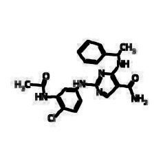 CC(=O)Nc1cc(Nc2ncc(C(N)=O)c(NC(C)c3ccccc3)n2)ccc1Cl